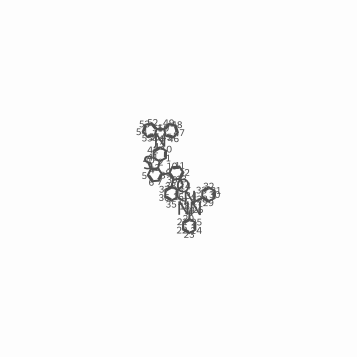 C1=CC2c3c(cccc3-c3cccc4oc5c(-c6nc(-c7ccccc7)nc(-c7ccccc7)n6)cccc5c34)SC2C=C1n1c2ccccc2c2ccccc21